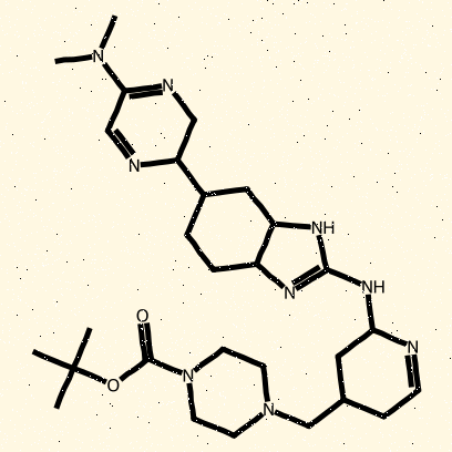 CN(C)C1=NCC(C2CCC3N=C(NC4CC(CN5CCN(C(=O)OC(C)(C)C)CC5)CC=N4)NC3C2)N=C1